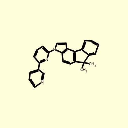 CC1(C)c2ccccc2-c2c1ccc1c2ccn1-c1cccc(-c2cccnc2)n1